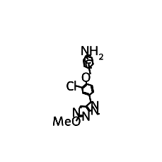 COc1ncc2c(-c3ccc(OCC45CCC(N)(CC4)CC5)c(Cl)c3)nn(C)c2n1